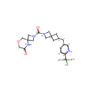 O=C1COCC2(CN(C(=O)N3CC4(CC(Cc5ccc(C(F)(F)F)nc5)C4)C3)C2)N1